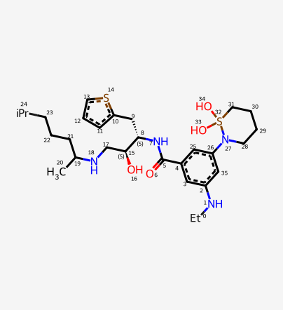 CCNc1cc(C(=O)N[C@@H](Cc2cccs2)[C@@H](O)CNC(C)CCCC(C)C)cc(N2CCCCS2(O)O)c1